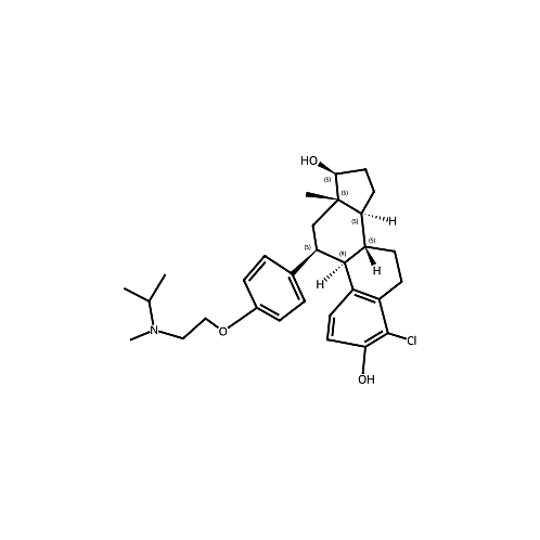 CC(C)N(C)CCOc1ccc([C@H]2C[C@]3(C)[C@@H](O)CC[C@H]3[C@@H]3CCc4c(ccc(O)c4Cl)[C@H]32)cc1